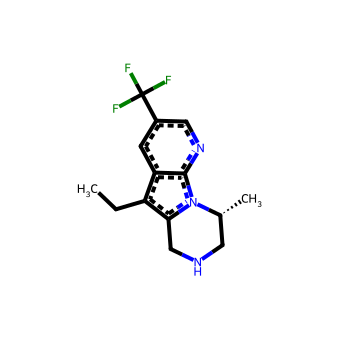 CCc1c2n(c3ncc(C(F)(F)F)cc13)[C@H](C)CNC2